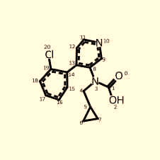 O=C(O)N(CC1CC1)c1cnccc1-c1ccccc1Cl